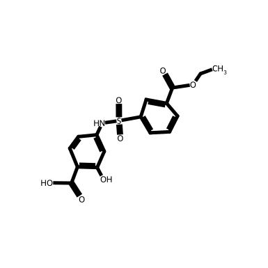 CCOC(=O)c1cccc(S(=O)(=O)Nc2ccc(C(=O)O)c(O)c2)c1